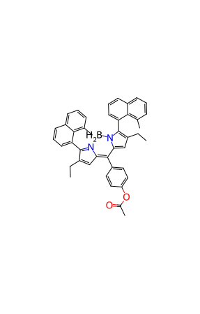 Bn1c(/C(=C2/C=C(CC)C(c3cccc4cccc(C)c34)=N2)c2ccc(OC(C)=O)cc2)cc(CC)c1-c1cccc2cccc(C)c12